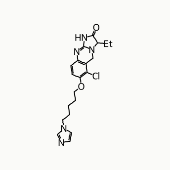 CCC1C(=O)NC2=Nc3ccc(OCCCCCn4ccnc4)c(Cl)c3CN21